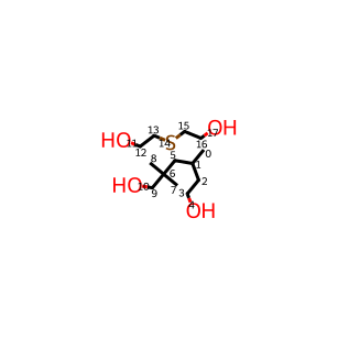 CC(CCO)CC(C)(C)CO.OCCSCCO